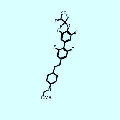 COCOC1CCC(CCc2cc(F)c(-c3cc(F)c(OC(F)(F)C(F)C(F)(F)F)c(F)c3)c(F)c2)CC1